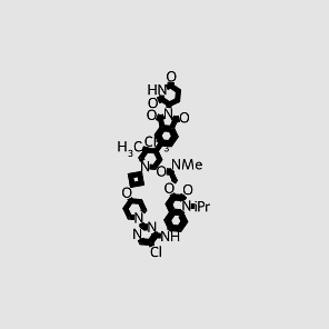 CNC(=O)COc1cc2cc(Nc3nc(N4CCC(O[C@H]5C[C@H](N6CCC(c7ccc8c(c7)C(=O)N(C7CCC(=O)NC7=O)C8=O)C(C)(C)C6)C5)CC4)ncc3Cl)ccc2n(C(C)C)c1=O